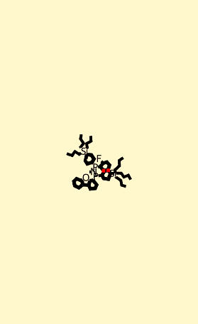 CCCC[Si](CCCC)(CCCC)c1ccc(P(c2ccccc2F)N(C)P(c2ccc([Si](CCCC)(CCCC)CCCC)cc2)c2cccc3c2oc2ccccc23)cc1